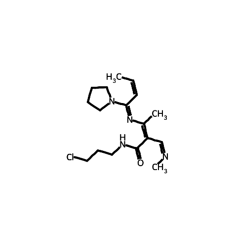 C\C=C/C(=N\C(C)=C(\C=N/C)C(=O)NCCCCl)N1CCCC1